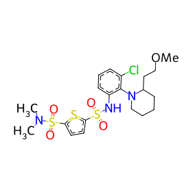 COCCC1CCCCN1c1c(Cl)cccc1NS(=O)(=O)c1ccc(S(=O)(=O)N(C)C)s1